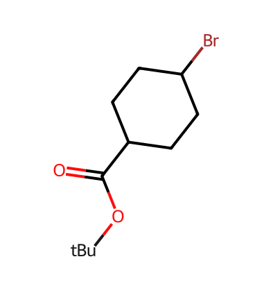 CC(C)(C)OC(=O)C1CCC(Br)CC1